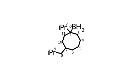 BC1(C(C)C)CCCCC(CC(C)C)CC1